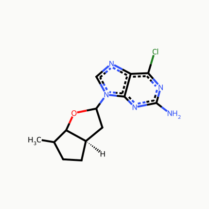 CC1CC[C@@H]2CC(n3cnc4c(Cl)nc(N)nc43)OC12